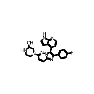 CC1CN(c2ccc3nc(-c4ccc(F)cc4)c(-c4ccnc5[nH]ccc45)n3n2)CCN1